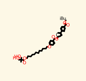 CCC(C)COC(=O)c1ccc(-c2ccc(OC(=O)c3ccc(OCCCCCCCCCCCCOC(=O)C(C)(CO)CO)cc3)cc2)cc1